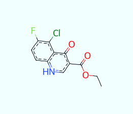 CCOC(=O)c1c[nH]c2ccc(F)c(Cl)c2c1=O